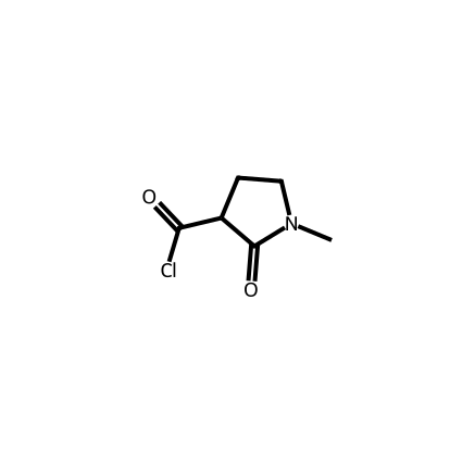 CN1CCC(C(=O)Cl)C1=O